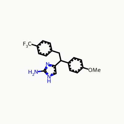 COc1ccc(C(Cc2ccc(C(F)(F)F)cc2)c2c[nH]c(N)n2)cc1